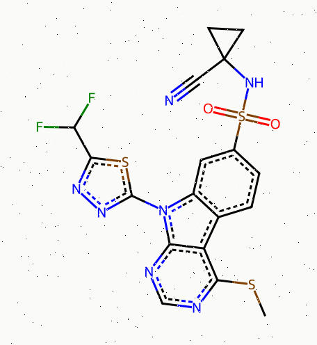 CSc1ncnc2c1c1ccc(S(=O)(=O)NC3(C#N)CC3)cc1n2-c1nnc(C(F)F)s1